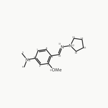 COc1cc(N(C)C)ccc1C=NN1CCCC1